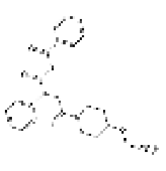 O=C(O)COC1CCN(C(=O)CN(C(=O)OC(=O)c2ccccc2)c2ccccc2)CC1